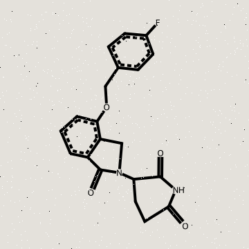 O=C1CCC(N2Cc3c(OCc4ccc(F)cc4)cccc3C2=O)C(=O)N1